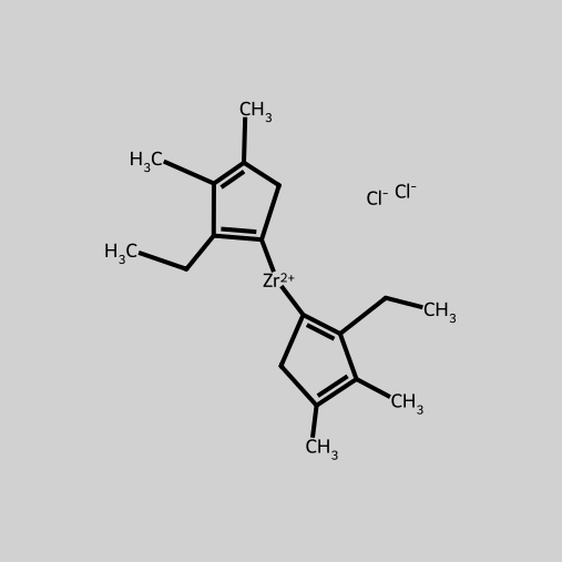 CCC1=[C]([Zr+2][C]2=C(CC)C(C)=C(C)C2)CC(C)=C1C.[Cl-].[Cl-]